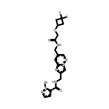 CC(C)n1nccc1C(=O)NCc1cn2ncc(CNC(=O)COC3CC(F)(F)C3)cc2n1